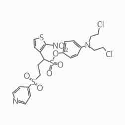 O=[N+]([O-])c1sccc1C(CCS(=O)(=O)c1ccncc1)S(=O)(=O)Oc1ccc(N(CCCl)CCCl)cc1